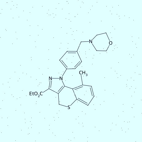 CCOC(=O)c1nn(-c2ccc(CN3CCOCC3)cc2)c2c1CSc1cccc(C)c1-2